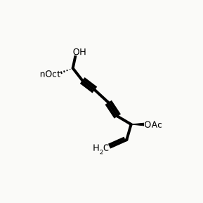 C=C[C@@H](C#CC#C[C@@H](O)CCCCCCCC)OC(C)=O